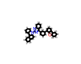 c1cc(-c2nc(-n3c4ccccc4c4c5ccccc5ccc43)nc3ccccc23)cc(-c2cccc3c2oc2ccccc23)c1